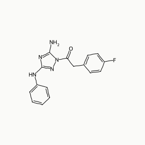 Nc1nc(Nc2ccccc2)nn1C(=O)Cc1ccc(F)cc1